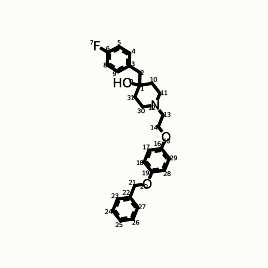 OC1(Cc2ccc(F)cc2)CCN(CCOc2ccc(OCc3ccccc3)cc2)CC1